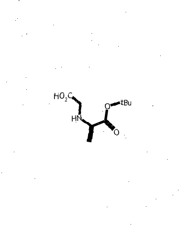 C=C(NCC(=O)O)C(=O)OC(C)(C)C